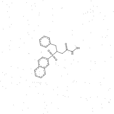 O=C(CC(Cc1ccccc1)S(=O)(=O)c1ccc2ccccc2c1)NO